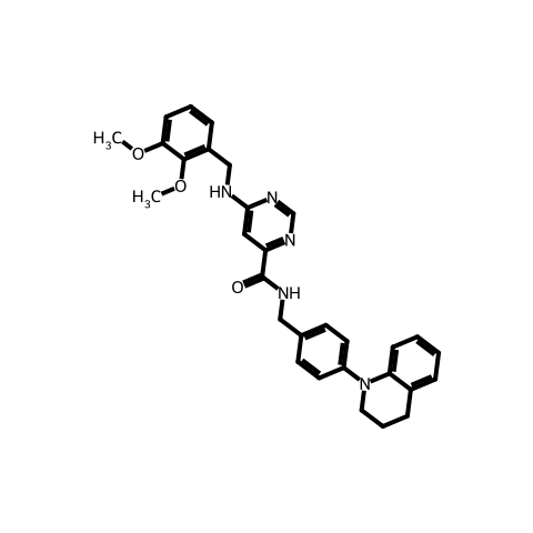 COc1cccc(CNc2cc(C(=O)NCc3ccc(N4CCCc5ccccc54)cc3)ncn2)c1OC